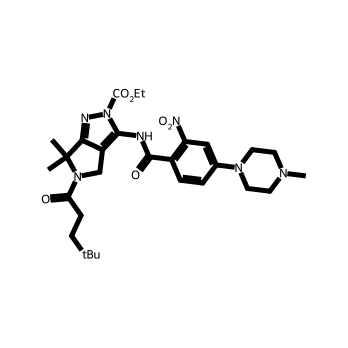 CCOC(=O)n1nc2c(c1NC(=O)c1ccc(N3CCN(C)CC3)cc1[N+](=O)[O-])CN(C(=O)CCC(C)(C)C)C2(C)C